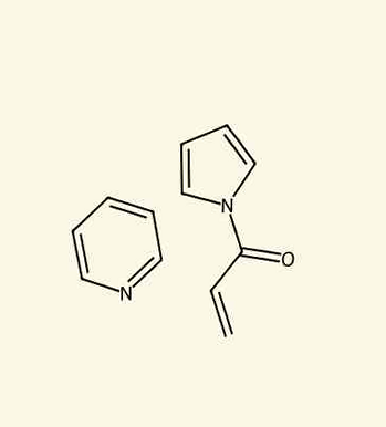 C=CC(=O)n1cccc1.c1ccncc1